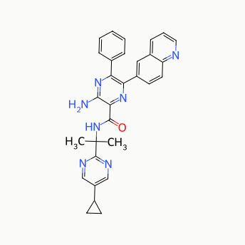 CC(C)(NC(=O)c1nc(-c2ccc3ncccc3c2)c(-c2ccccc2)nc1N)c1ncc(C2CC2)cn1